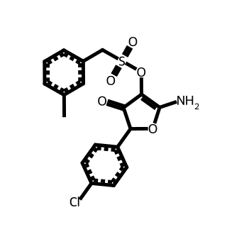 Cc1cccc(CS(=O)(=O)OC2=C(N)OC(c3ccc(Cl)cc3)C2=O)c1